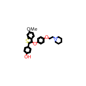 COc1ccc2c(Oc3ccc(OCCN4CCCCC4)cc3)c(-c3ccc(O)cc3)sc2c1